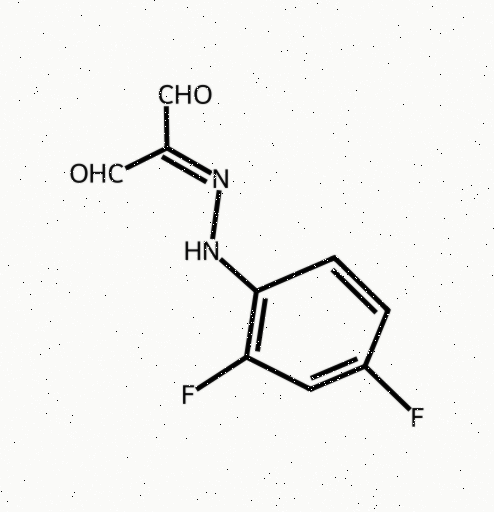 O=CC(C=O)=NNc1ccc(F)cc1F